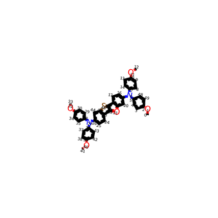 COc1ccc(N(c2ccc(OC)cc2)c2ccc3c(c2)oc2c4ccc(N(c5ccc(OC)cc5)c5ccc(OC)cc5)cc4sc32)cc1